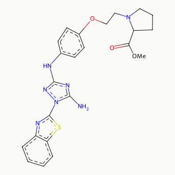 COC(=O)C1CCCN1CCOc1ccc(Nc2nc(N)n(-c3nc4ccccc4s3)n2)cc1